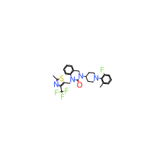 Cc1nc(C(F)(F)F)c(CN2C(=O)N(C3CCN(c4c(C)cccc4F)CC3)Cc3ccccc32)s1